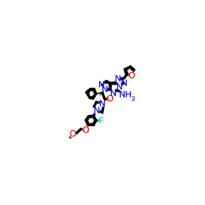 COCCOc1ccc(N2CCN(C(=O)[C@@H](c3ccccc3)n3ncc4c3nc(N)n3nc(-c5ccco5)nc43)CC2)c(F)c1